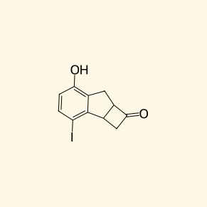 O=C1CC2c3c(I)ccc(O)c3CC12